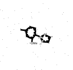 COc1cc(C)ccc1-n1nccn1